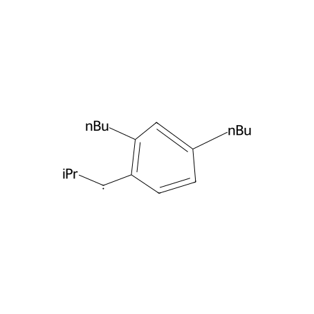 CCCCc1ccc([CH]C(C)C)c(CCCC)c1